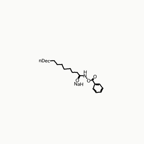 CCCCCCCCCCCCCCCCCC(=O)NOC(=O)c1ccccc1.[NaH]